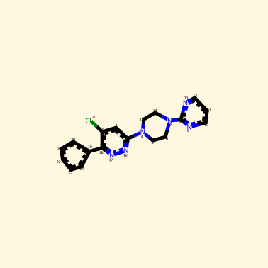 Clc1cc(N2CCN(c3ncccn3)CC2)nnc1-c1ccccc1